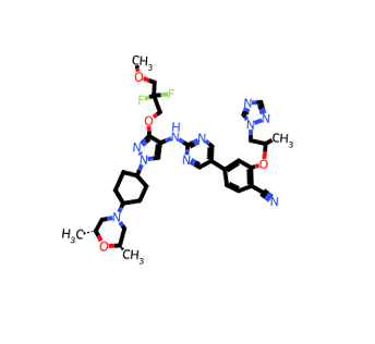 COCC(F)(F)COc1nn(C2CCC(N3C[C@@H](C)O[C@@H](C)C3)CC2)cc1Nc1ncc(-c2ccc(C#N)c(OC(C)Cn3cncn3)c2)cn1